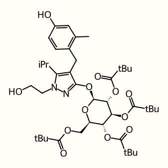 Cc1cc(O)ccc1Cc1c(O[C@@H]2O[C@H](COC(=O)C(C)(C)C)[C@@H](OC(=O)C(C)(C)C)[C@H](OC(=O)C(C)(C)C)[C@H]2OC(=O)C(C)(C)C)nn(CCO)c1C(C)C